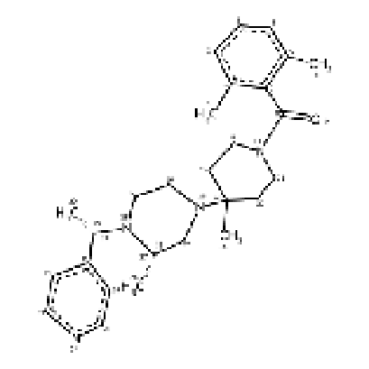 Cc1cccc(C)c1C(=O)N1CCC(C)(N2CCN([C@@H](C)c3ccncc3)[C@@H](C)C2)CC1